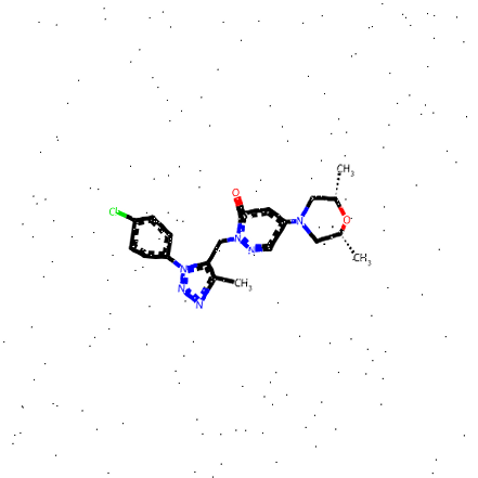 Cc1nnn(-c2ccc(Cl)cc2)c1Cn1ncc(N2C[C@@H](C)O[C@@H](C)C2)cc1=O